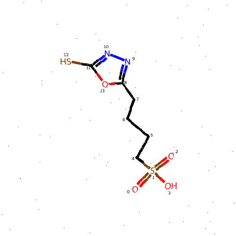 O=S(=O)(O)CCCCc1nnc(S)o1